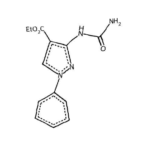 CCOC(=O)c1cn(-c2ccccc2)nc1NC(N)=O